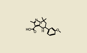 COc1cccc(C2CC(C)(C)n3nc(C)c(C(=O)O)c3N2)c1